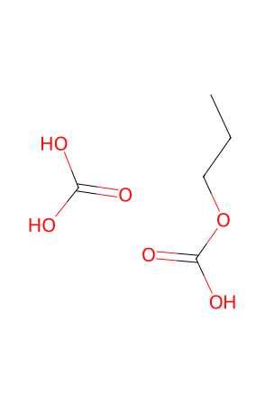 CCCOC(=O)O.O=C(O)O